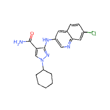 NC(=O)c1cn(C2CCCCC2)nc1Nc1cnc2cc(Cl)ccc2c1